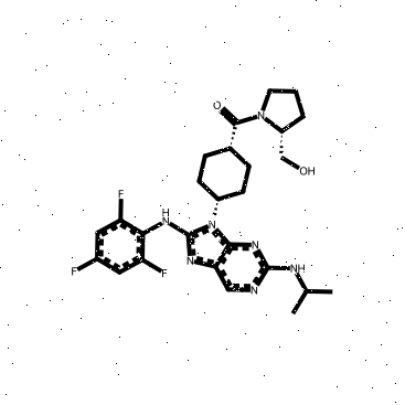 CC(C)Nc1ncc2nc(Nc3c(F)cc(F)cc3F)n([C@H]3CC[C@@H](C(=O)N4CCC[C@@H]4CO)CC3)c2n1